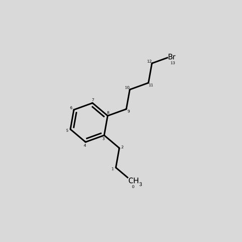 CCCc1ccccc1CCCCBr